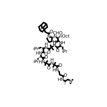 CCCCCCCC[C@@H](C(=O)N[C@@H](CC(C)C)C(=O)NC(C)(C)C(=O)N[C@@H](CC(C)C)C(=O)N[C@@H](CC(C)C)C(=O)NC(C)(C)C(=O)NC(C)(C)C(=O)NCCC(=O)N[C@@H](C)CN(C)C)N(C=O)[C@@H]1CCCN1C(=O)CC12CC3CC(CC(C3)C1)C2